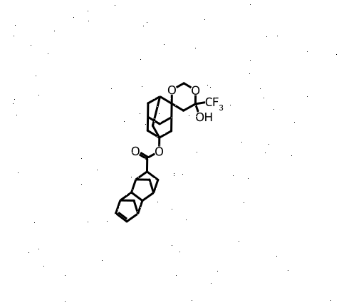 O=C(OC12CC3CC(C1)C1(CC(O)(C(F)(F)F)OCO1)C(C3)C2)C1CC2CC1C1C3C=CC(C3)C21